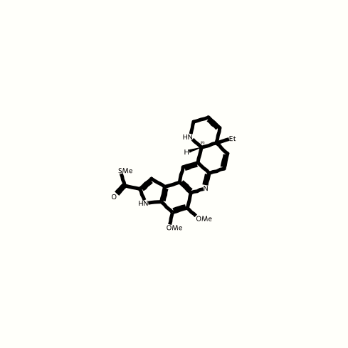 CCC12C=CCN[C@H]1c1cc3c(nc1C=C2)c(OC)c(OC)c1[nH]c(C(=O)SC)cc13